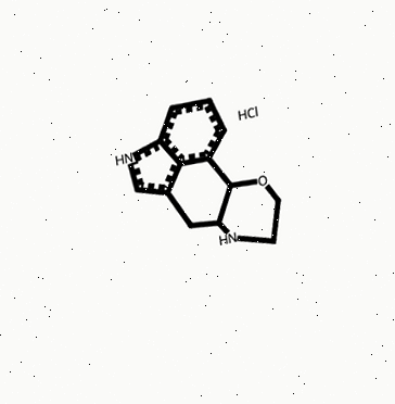 Cl.c1cc2c3c(c[nH]c3c1)CC1NCCOC21